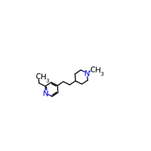 CCc1cc(CCC2CCN(C)CC2)ccn1